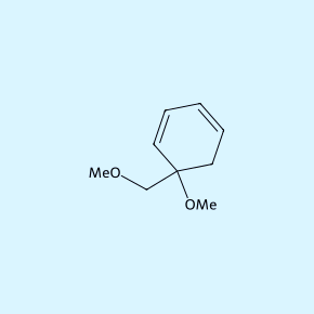 COCC1(OC)C=CC=CC1